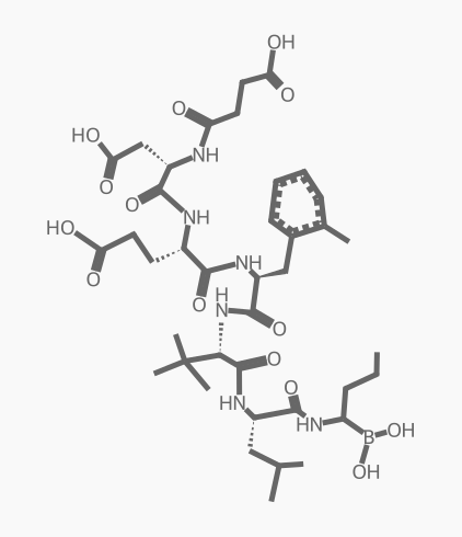 CCCC(NC(=O)[C@H](CC(C)C)NC(=O)[C@@H](NC(=O)[C@H](Cc1ccccc1C)NC(=O)[C@H](CCC(=O)O)NC(=O)[C@H](CC(=O)O)NC(=O)CCC(=O)O)C(C)(C)C)B(O)O